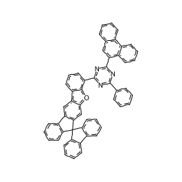 c1ccc(-c2nc(-c3cc4ccccc4c4ccccc34)nc(-c3cccc4c3oc3cc5c(cc34)-c3ccccc3C53c4ccccc4-c4ccccc43)n2)cc1